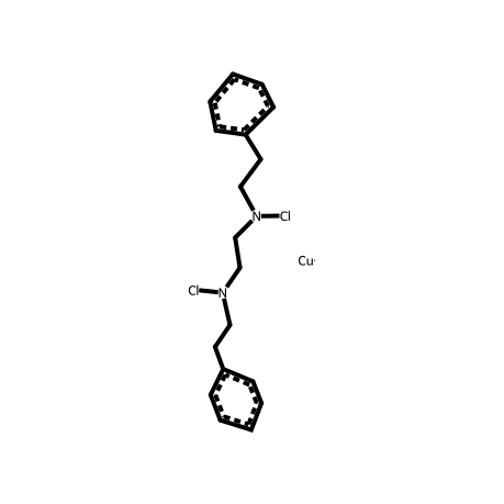 ClN(CCc1ccccc1)CCN(Cl)CCc1ccccc1.[Cu]